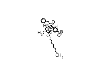 CCCCCCCCCCOC(=O)[C@H](C)OP(=O)(N[C@@H](Cc1ccccc1)C(=O)O)Oc1ccc([N+](=O)[O-])cc1